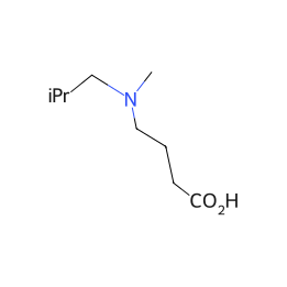 CC(C)CN(C)CCCC(=O)O